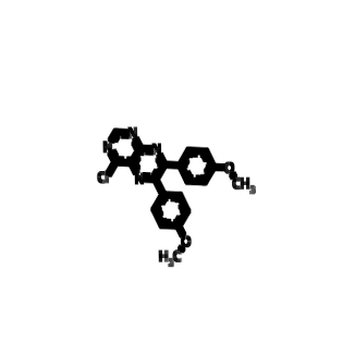 COc1ccc(-c2nc3ncnc(Cl)c3nc2-c2ccc(OC)cc2)cc1